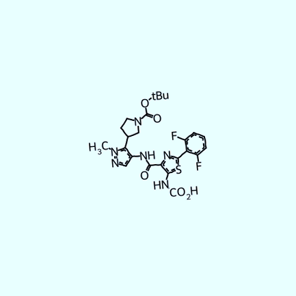 Cn1ncc(NC(=O)c2nc(-c3c(F)cccc3F)sc2NC(=O)O)c1C1CCN(C(=O)OC(C)(C)C)C1